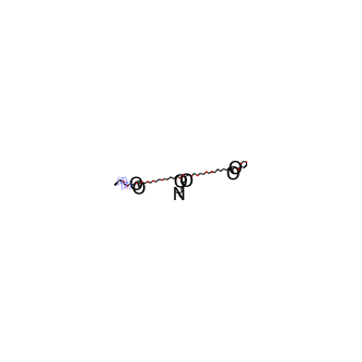 C#C/C=C\C=C/CCOC(=O)CCCCCCCCCCCCCCCC(CCCCCCCCCCCCCCCC(=O)OCC1=CCCC=C1)OC(=O)CCCN(C)C